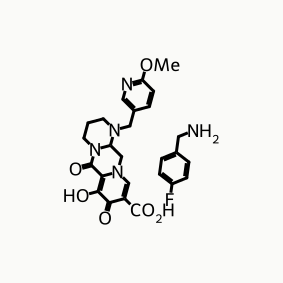 COc1ccc(CN2CCCN3C(=O)c4c(O)c(=O)c(C(=O)O)cn4CC23)cn1.NCc1ccc(F)cc1